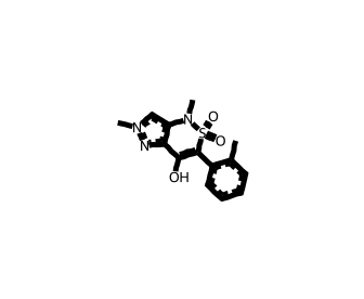 Cc1ccccc1C1=C(O)c2nn(C)cc2N(C)S1(=O)=O